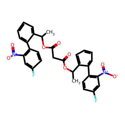 CC(OC(=O)CC(=O)OC(C)c1ccccc1-c1ccc(F)cc1[N+](=O)[O-])c1ccccc1-c1ccc(F)cc1[N+](=O)[O-]